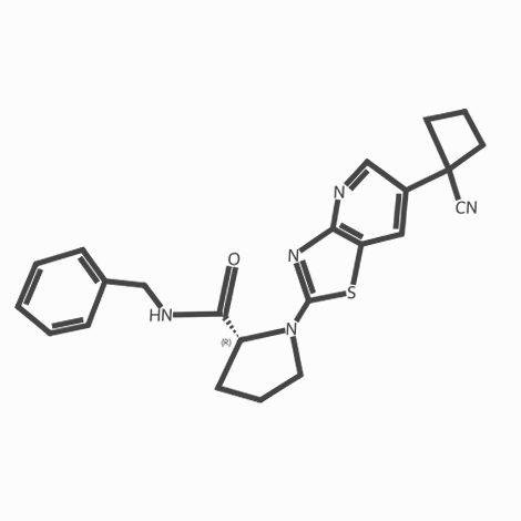 N#CC1(c2cnc3nc(N4CCC[C@@H]4C(=O)NCc4ccccc4)sc3c2)CCC1